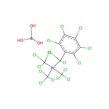 Clc1c(Cl)c(Cl)c(C(Cl)(Cl)[N+](C(Cl)(Cl)Cl)(C(Cl)(Cl)Cl)C(Cl)(Cl)Cl)c(Cl)c1Cl.OB(O)O